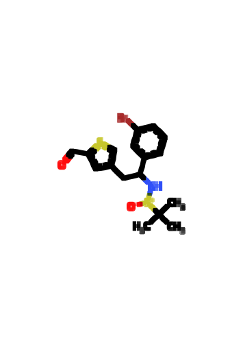 CC(C)(C)[S+]([O-])NC(Cc1csc(C=O)c1)c1cccc(Br)c1